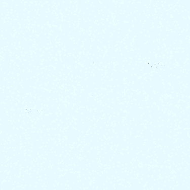 CNCC[C@@H](O)c1cccc(OC)c1